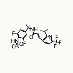 CC(C)c1nc(C(F)(F)F)ccc1C=CC(=O)N[C@H](C)c1cc(F)c(NS(C)(=O)=O)c(F)c1